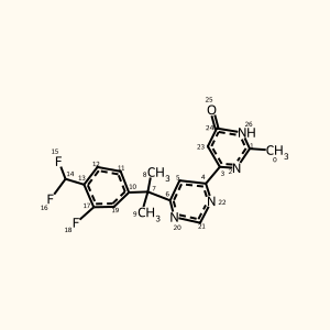 Cc1nc(-c2cc(C(C)(C)c3ccc(C(F)F)c(F)c3)ncn2)cc(=O)[nH]1